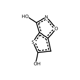 Oc1cc2onc(O)c2s1